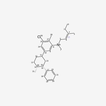 CC/C(C)=C\CN(C)c1cc(C2CC[C@@H](C)[C@@H](c3ccccc3)C2)cc(Cl)c1C